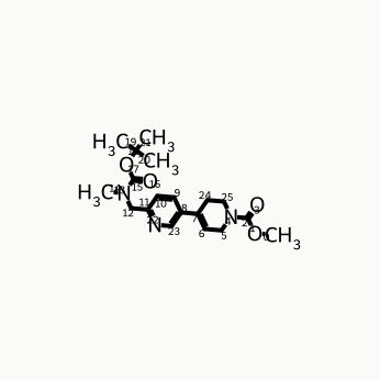 COC(=O)N1CC=C(c2ccc(CN(C)C(=O)OC(C)(C)C)nc2)CC1